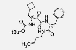 C=CCCNC(=O)[C@H](Cc1ccccc1)NC(=O)C(=O)[C@H](CC1CCC1)NC(=O)OC(C)(C)C